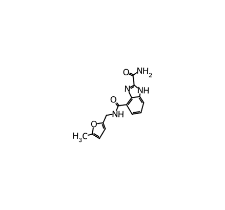 Cc1ccc(CNC(=O)c2cccc3[nH]c(C(N)=O)nc23)o1